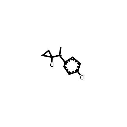 C[C](c1ccc(Cl)cc1)C1(Cl)CC1